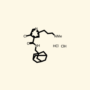 CNCCCc1cc(C(=O)NCC23CC4CC(CC(C4)C2)C3)c(Cl)cn1.Cl.Cl